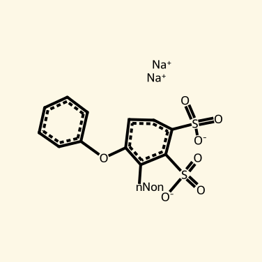 CCCCCCCCCc1c(Oc2ccccc2)ccc(S(=O)(=O)[O-])c1S(=O)(=O)[O-].[Na+].[Na+]